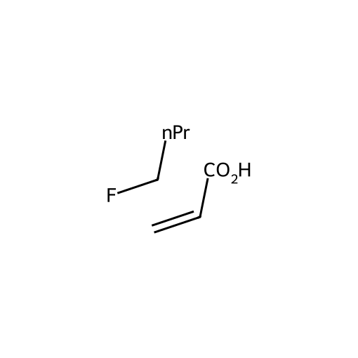 C=CC(=O)O.CCCCF